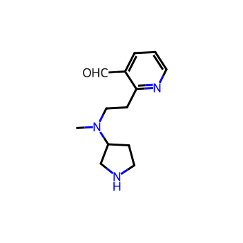 CN(CCc1ncccc1C=O)C1CCNC1